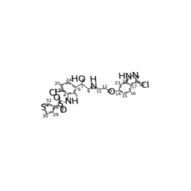 O=S(=O)(Nc1cc(C(O)CNCCOc2ccc3c(Cl)n[nH]c3c2)ccc1Cl)c1ccsc1